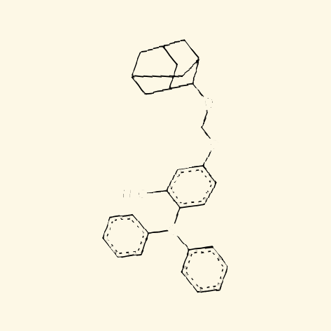 Cc1cc(OCOC2C3CC4CC(C3)CC2C4)ccc1[S+](c1ccccc1)c1ccccc1